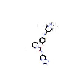 C[C@H]1CC[C@H](c2ccc3sc(C4CC(C)(C)N(C)C(C)(C)C4)nc3c2)N(C(=O)C(=O)Nc2ccn3ccnc3c2)C1